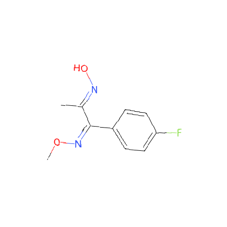 CON=C(C(C)=NO)c1ccc(F)cc1